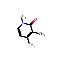 Cc1ccn(C)c(=O)c1C